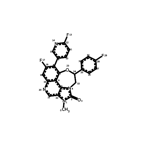 Cn1c(=O)n2c3c4c(c(-c5ccc(F)nc5)c(F)cc4ncc31)OC(c1ccc(F)cc1)C2